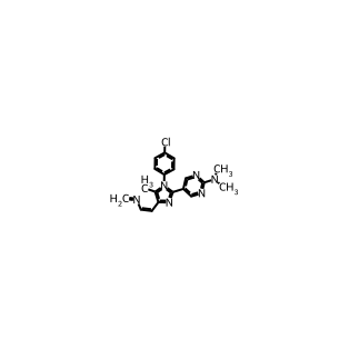 C=N/C=C\c1nc(-c2cnc(N(C)C)nc2)n(-c2ccc(Cl)cc2)c1C